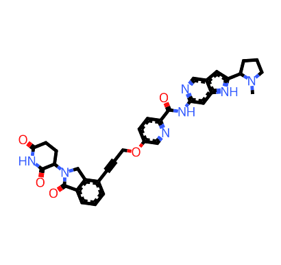 CN1CCCC1c1cc2cnc(NC(=O)c3ccc(OCC#Cc4cccc5c4CN(C4CCC(=O)NC4=O)C5=O)cn3)cc2[nH]1